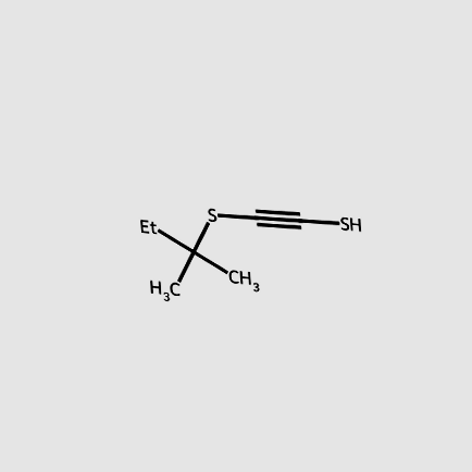 CCC(C)(C)SC#CS